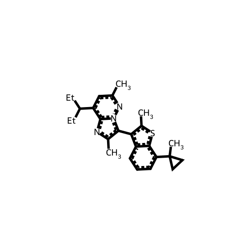 CCC(CC)c1cc(C)nn2c(-c3c(C)sc4c(C5(C)CC5)cccc34)c(C)nc12